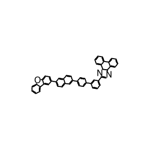 c1cc(-c2ccc(-c3ccc4cc(-c5ccc6oc7ccccc7c6c5)ccc4c3)cc2)cc(-c2cnc3c4ccccc4c4ccccc4c3n2)c1